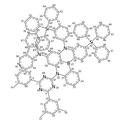 Cc1cc(C)cc(-c2nc(-c3cc(C)cc(C)c3)nc(N3c4ccccc4B4c5ccc([Si](c6ccccc6)(c6ccccc6)c6ccccc6)cc5N(c5cccc([Si](c6ccccc6)(c6ccccc6)c6ccccc6)c5)c5cc(-n6c7ccccc7c7ccccc76)cc3c54)n2)c1